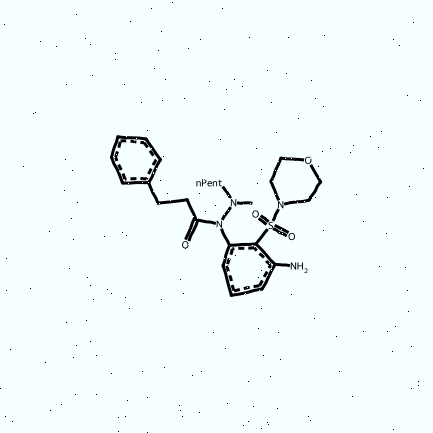 CCCCCN(C)N(C(=O)CCc1ccccc1)c1cccc(N)c1S(=O)(=O)N1CCOCC1